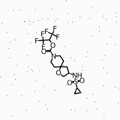 O=C(OC(C(F)(F)F)C(F)(F)F)N1CCC2(CC1)C[C@@H](NS(=O)(=O)C1CC1)CO2